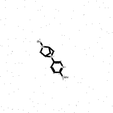 CCC(C)N1CC2CC1CN2c1ccc(OC)nc1